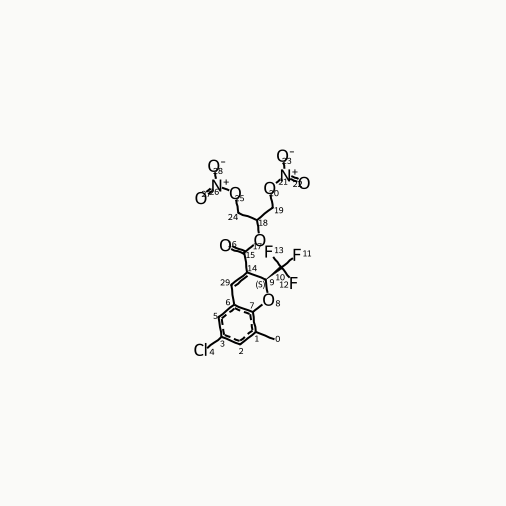 Cc1cc(Cl)cc2c1O[C@H](C(F)(F)F)C(C(=O)OC(CO[N+](=O)[O-])CO[N+](=O)[O-])=C2